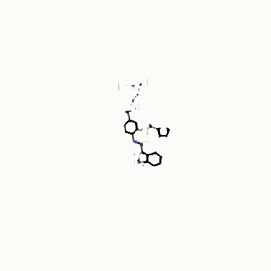 Cc1ccsc1C(=O)Nc1cc(C(=O)NCCN(C)C)ccc1/C=C/c1n[nH]c2ccccc12